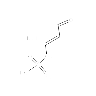 O=CC=COS(=O)(O)=S.[NaH]